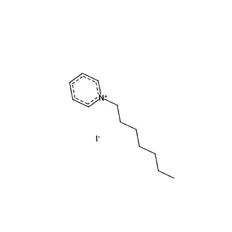 CCCCCCC[n+]1ccccc1.[I-]